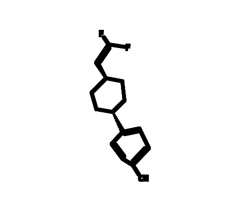 N#Cc1ccc([C@H]2CC[C@H](C=C(F)F)CC2)cc1